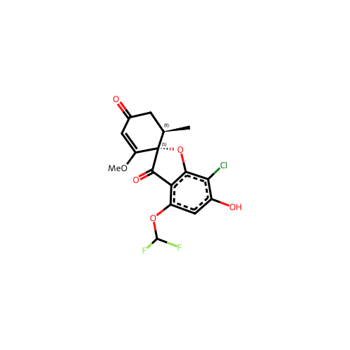 COC1=CC(=O)C[C@@H](C)[C@]12Oc1c(Cl)c(O)cc(OC(F)F)c1C2=O